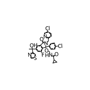 CC(O)(c1cc(F)c2c(c1)C(=O)N(Cc1ccc(Cl)cn1)[C@@]2(OCNC(=O)C1CC1)c1ccc(Cl)cc1)c1cscn1